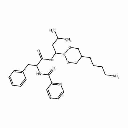 CC(C)CC(NC(=O)C(Cc1ccccc1)NC(=O)c1cnccn1)B1OCC(CCCCN)CO1